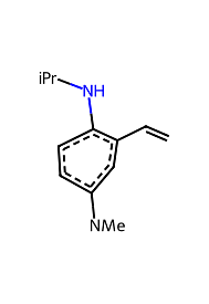 C=Cc1cc(NC)ccc1NC(C)C